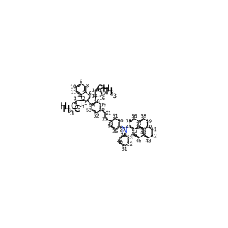 CCC1(CC)C2=C(c3ccccc31)C(CC)(CC)c1cc(/C=C/c3ccc(N(c4ccccc4)c4ccc5ccc6cccc7ccc4c5c67)cc3)ccc12